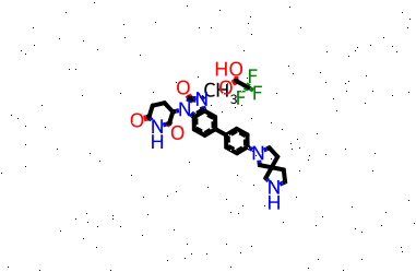 Cn1c(=O)n(C2CCC(=O)NC2=O)c2ccc(-c3ccc(N4CCC5(CCNC5)C4)cc3)cc21.O=C(O)C(F)(F)F